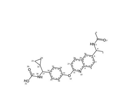 CC(=O)NC(C)c1ccc2nc(Oc3ccc(C(NC(=O)O)C4CC4)cc3)ccc2c1